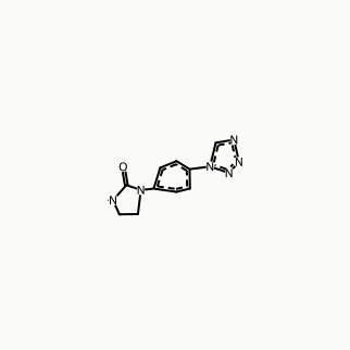 O=C1[N]CCN1c1ccc(-n2cnnn2)cc1